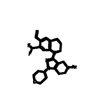 C=Cc1cc2c(cc1C(F)F)N(c1nn(C3CCOCC3)c3c1CN(C(C)=O)CC3)CCC2